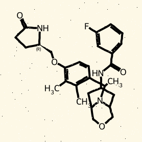 Cc1c(OC[C@H]2CCC(=O)N2)ccc(C(C)N2C3COCC2CC(NC(=O)c2cccc(F)c2)C3)c1C